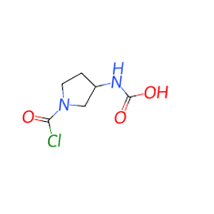 O=C(O)NC1CCN(C(=O)Cl)C1